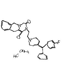 Cl.Cl.O=C1CN2Cc3ccccc3CC2C(=O)N1CCN1CCC(=C(c2ccccc2)c2ccc(F)cc2)CC1